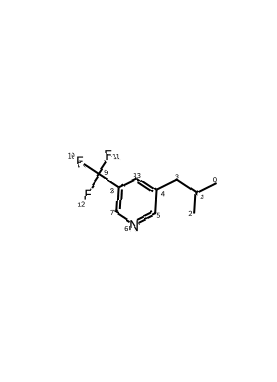 CC(C)Cc1cncc(C(F)(F)F)c1